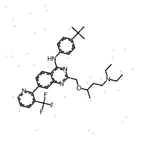 CCN(CC)CCC(C)OCc1nc(Nc2ccc(C(C)(C)C)cc2)c2ccc(-c3ncccc3C(F)(F)F)cc2n1